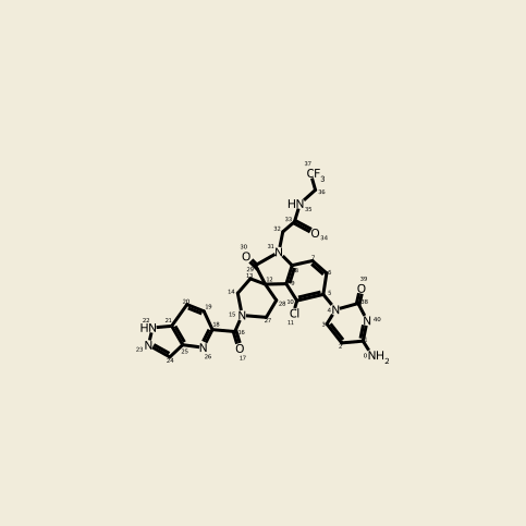 Nc1ccn(-c2ccc3c(c2Cl)C2(CCN(C(=O)c4ccc5[nH]ncc5n4)CC2)C(=O)N3CC(=O)NCC(F)(F)F)c(=O)n1